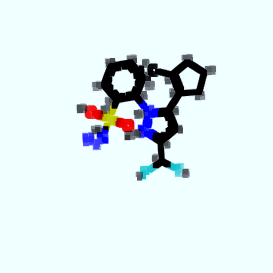 CC1=C(c2cc(C(F)F)nn2-c2ccccc2S(N)(=O)=O)CCC1